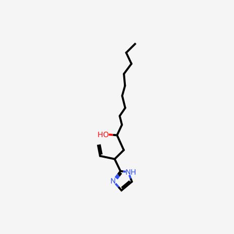 C=CC(CC(O)CCCCCCCCC)c1ncc[nH]1